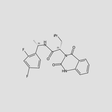 CC(C)C[C@@H](C(=O)N[C@@H](C)c1ccc(F)cc1F)n1c(=O)[nH]c2ccccc2c1=O